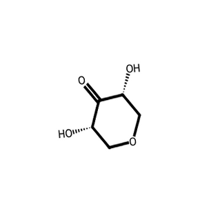 O=C1[C@H](O)COC[C@@H]1O